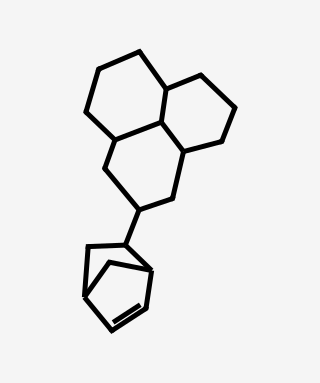 C1=CC2CC1CC2C1CC2CCCC3CCCC(C1)C32